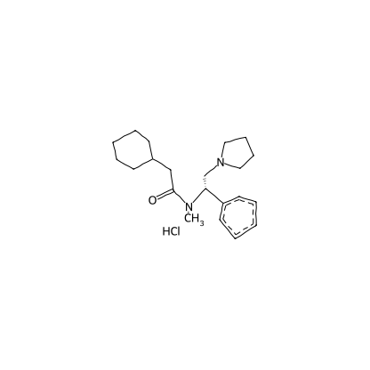 CN(C(=O)CC1CCCCC1)[C@H](CN1CCCC1)c1ccccc1.Cl